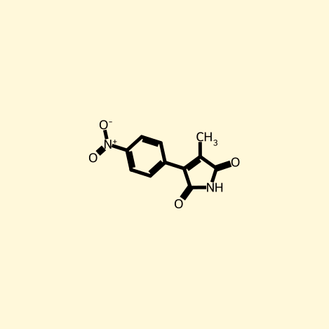 CC1=C(c2ccc([N+](=O)[O-])cc2)C(=O)NC1=O